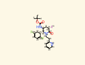 CC(C)(C)OC(=O)NC1C[C@H](I)C(=O)N(CCc2ccccn2)[C@@H]1C1CC(F)=CC=C1F